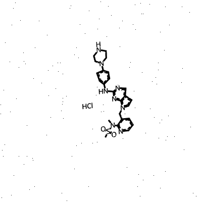 CN(c1ncccc1Cn1ccc2cnc(Nc3ccc(N4CCNCC4)cc3)nc21)S(C)(=O)=O.Cl